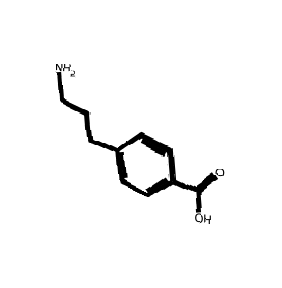 NC[CH]Cc1ccc(C(=O)O)cc1